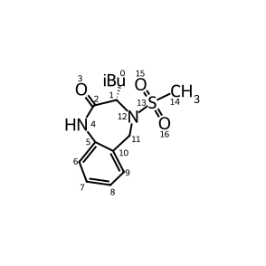 CCC(C)[C@H]1C(=O)Nc2ccccc2CN1S(C)(=O)=O